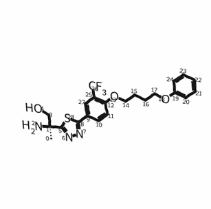 C[C@](N)(CO)c1nnc(-c2ccc(OCCCCOc3ccccc3)c(C(F)(F)F)c2)s1